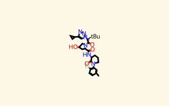 Cc1ccc(F)c(N2CCCC(NC(=O)C3CC(O)CN3C(=O)[C@@H](n3cc(C4CC4)nn3)C(C)(C)C)C2=O)c1